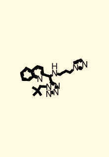 CC(C)(C)Cn1nnnc1C(NCCCn1ccnc1)c1ccc2ccccc2n1